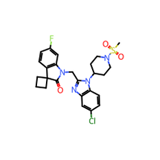 CS(=O)(=O)N1CCC(n2c(CN3C(=O)C4(CCC4)c4ccc(F)cc43)nc3cc(Cl)ccc32)CC1